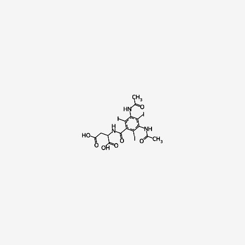 CC(=O)Nc1c(I)c(NC(C)=O)c(I)c(C(=O)NC(CC(=O)O)C(=O)O)c1I